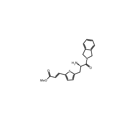 COC(=O)/C=C/c1ccc(C[C@@H](N)C(=O)N2Cc3ccccc3C2)s1